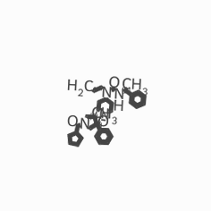 C=CCN(C(=O)N[C@H](C)c1ccccc1)C1CCN(O[C@]2(c3ccccc3)CN(C(=O)C3CCCC3)C[C@@H]2C)CC1